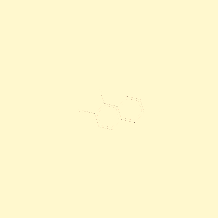 CC(C)(C)c1ccc2ccccc2c1[S]